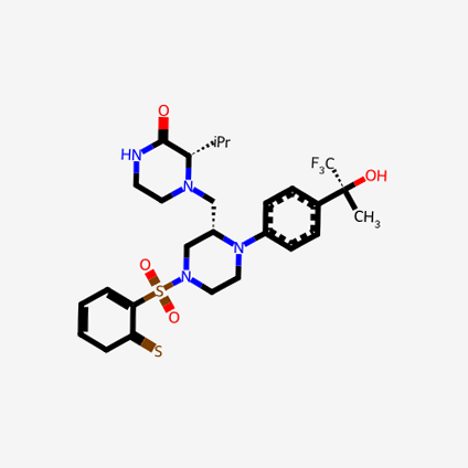 CC(C)[C@H]1C(=O)NCCN1C[C@H]1CN(S(=O)(=O)C2=CC=CCC2=S)CCN1c1ccc([C@](C)(O)C(F)(F)F)cc1